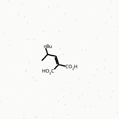 CCCCC(C)C=C(C(=O)O)C(=O)O